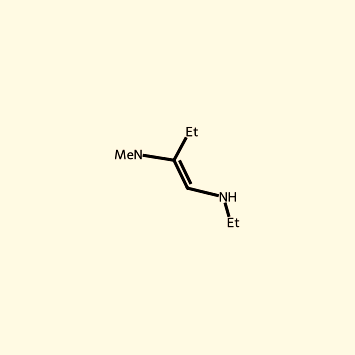 CCN/C=C(\CC)NC